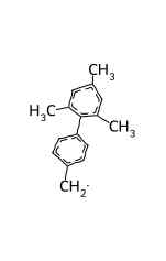 [CH2]c1ccc(-c2c(C)cc(C)cc2C)cc1